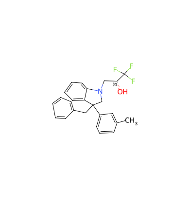 Cc1cccc(C2(Cc3ccccc3)CN(C[C@@H](O)C(F)(F)F)c3ccccc32)c1